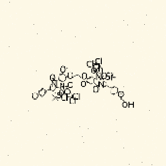 COc1ccc(C2=CN3C(=O)c4cc(OC)c(OCCCOc5cc6c(cc5OC)C(=O)N5C=C(c7ccc(OCCO)cc7)CC5C(O[Si](C)(C)C(C)(C)C)N6C(=O)OCC(Cl)(Cl)Cl)cc4N(C(=O)OCC(Cl)(Cl)Cl)C(O[Si](C)(C)C(C)(C)C)C3C2)cc1